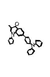 Cc1cn(-c2ccccc2)c2cc(-c3ccc(N(c4ccccc4)c4ccccc4)cc3)ccc2c1=O